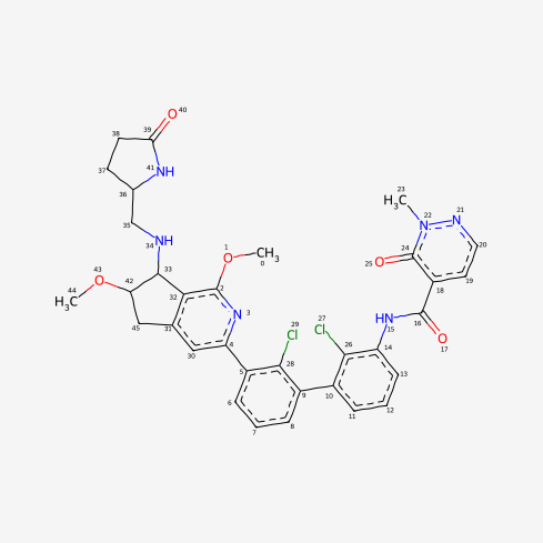 COc1nc(-c2cccc(-c3cccc(NC(=O)c4ccnn(C)c4=O)c3Cl)c2Cl)cc2c1C(NCC1CCC(=O)N1)C(OC)C2